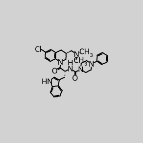 CN(C)C[C@@H]1Cc2cc(Cl)ccc2N(C(=O)[C@@H](Cc2c[nH]c3ccccc23)NC(=O)N2CCN(c3ccccc3)CC2)C1